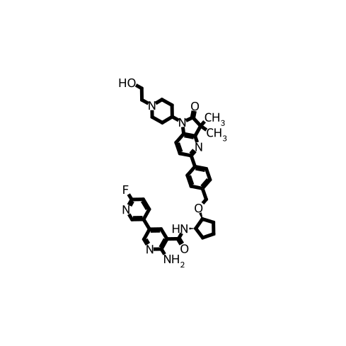 CC1(C)C(=O)N(C2CCN(CCO)CC2)c2ccc(-c3ccc(CO[C@H]4CCC[C@@H]4NC(=O)c4cc(-c5ccc(F)nc5)cnc4N)cc3)nc21